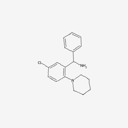 NC(c1ccccc1)c1cc(Cl)ccc1N1CCCCC1